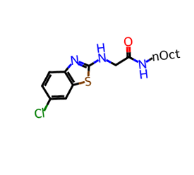 CCCCCCCCNC(=O)CNc1nc2ccc(Cl)cc2s1